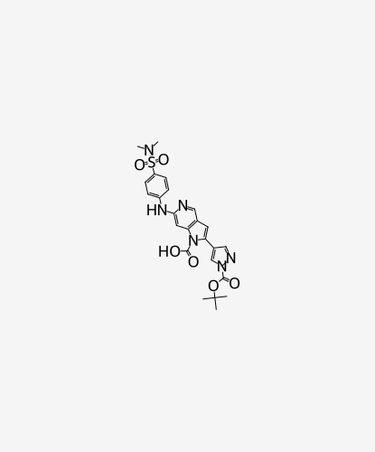 CN(C)S(=O)(=O)c1ccc(Nc2cc3c(cn2)cc(-c2cnn(C(=O)OC(C)(C)C)c2)n3C(=O)O)cc1